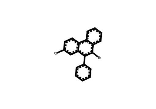 Clc1ccc2c(c1)c(-c1ccccc1)c(Br)c1ccccc12